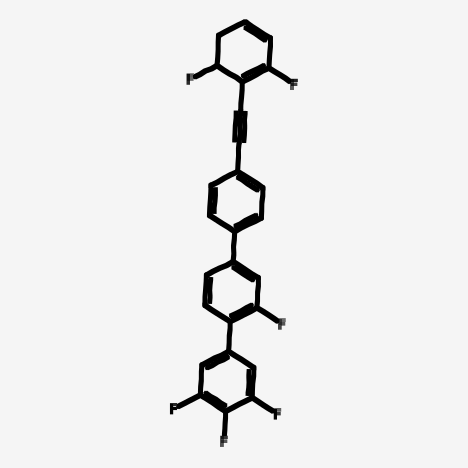 FC1=C(C#Cc2ccc(-c3ccc(-c4cc(F)c(F)c(F)c4)c(F)c3)cc2)C(F)CC=C1